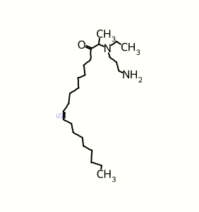 CCCCCCCC/C=C\CCCCCCCC(=O)C(C)N(CC)CCCN